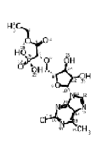 CCOC(=O)[C@H](OC[C@H]1O[C@@H](n2cnc3c(C)nc(Cl)nc32)[C@H](O)[C@@H]1O)P(=O)(O)O